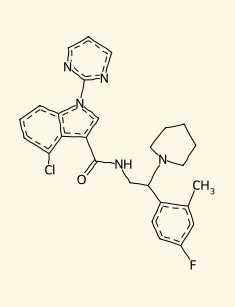 Cc1cc(F)ccc1C(CNC(=O)c1cn(-c2ncccn2)c2cccc(Cl)c12)N1CCCCC1